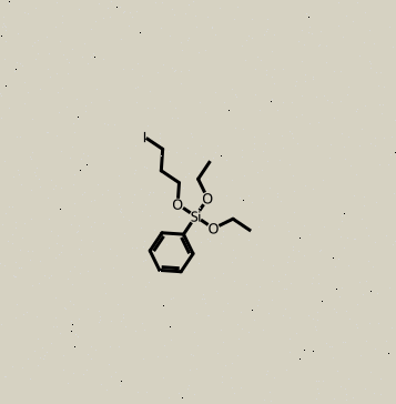 CCO[Si](OCC)(OCCCI)c1ccccc1